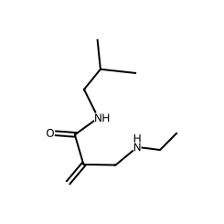 C=C(CNCC)C(=O)NCC(C)C